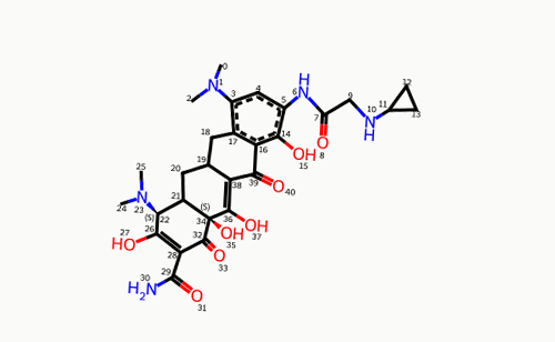 CN(C)c1cc(NC(=O)CNC2CC2)c(O)c2c1CC1CC3[C@H](N(C)C)C(O)=C(C(N)=O)C(=O)[C@@]3(O)C(O)=C1C2=O